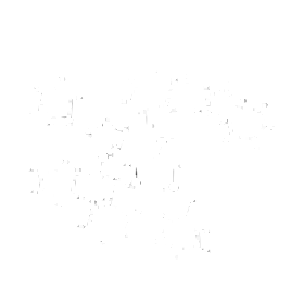 c1ccc(COC[C@H]2OC(c3cccc(Cc4cc5ccccc5s4)c3)[C@H](OCc3ccccc3)[C@@H](OCc3ccccc3)[C@@H]2OCc2ccccc2)cc1